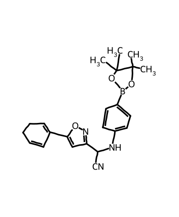 CC1(C)OB(c2ccc(NC(C#N)c3cc(C4=CCCC=C4)on3)cc2)OC1(C)C